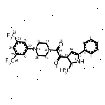 CC1NC(c2ccccc2)=CC1C(=O)C(=O)N1CCN(c2cc(C(F)(F)F)cc(C(F)(F)F)c2)CC1